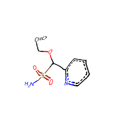 NS(=O)(=O)C(OCC=O)c1ccccn1